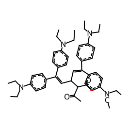 CCN(CC)c1ccc(C(=CC(C=C(c2ccc(N(CC)CC)cc2)c2ccc(N(CC)CC)cc2)C(C(C)=O)C(C)=O)c2ccc(N(CC)CC)cc2)cc1